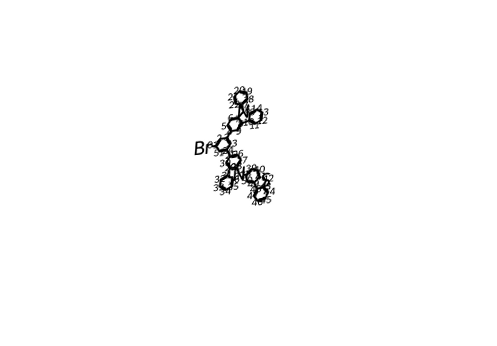 Brc1cc(-c2ccc3c(c2)c2ccccc2n3-c2ccccc2)cc(-c2ccc3c(c2)c2ccccc2n3-c2ccc3sc4ccccc4c3c2)c1